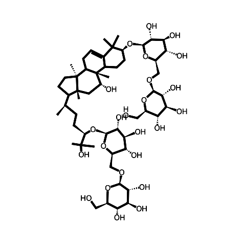 C[C@H](CC[C@@H](O[C@@H]1O[C@H](CO[C@@H]2O[C@H](CO)[C@@H](O)[C@H](O)[C@H]2O)[C@@H](O)[C@H](O)[C@H]1O)C(C)(C)O)C1CC[C@@]2(C)C3CC=C4C(CC[C@H](O[C@@H]5O[C@H](CO[C@@H]6O[C@H](CO)[C@@H](O)[C@H](O)[C@H]6O)[C@@H](O)[C@H](O)[C@H]5O)C4(C)C)[C@]3(C)[C@H](O)C[C@]12C